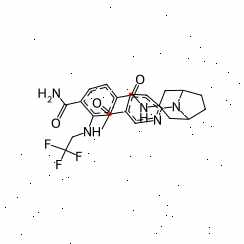 CC(=O)c1ccc(N2C3CCC2CC(NC(=O)c2ccc(C(N)=O)c(NCC(F)(F)F)c2)C3)nc1